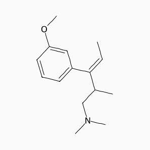 C/C=C(\c1cccc(OC)c1)C(C)CN(C)C